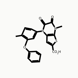 Cc1ccc(-n2c(=O)c(=O)n(C)c3sc(C(=O)O)cc32)cc1Oc1ccccc1